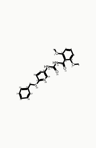 COc1cccc(OC)c1C(=O)NC(=O)Nc1ccc(SCc2ccccc2)nc1